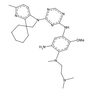 COc1cc(N(C)CCN(C)C)c(N)cc1Nc1ncnc(N2CC3(CCCCC3)c3nc(C)ccc32)n1